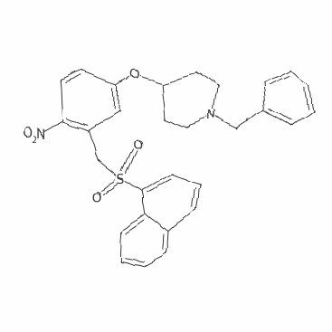 O=[N+]([O-])c1ccc(OC2CCN(Cc3ccccc3)CC2)cc1CS(=O)(=O)c1cccc2ccccc12